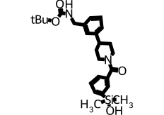 CC(C)(C)OC(=O)NCc1cccc(C2CCN(C(=O)c3cccc([Si](C)(C)O)c3)CC2)c1